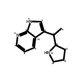 CC(c1c[nH]c2ncccc12)C1CCCN1